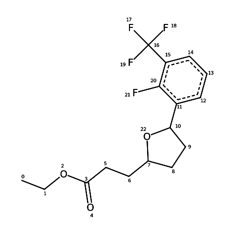 CCOC(=O)CCC1CCC(c2cccc(C(F)(F)F)c2F)O1